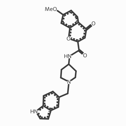 COc1ccc2c(=O)cc(C(=O)NC3CCN(Cc4ccc5[nH]ccc5c4)CC3)oc2c1